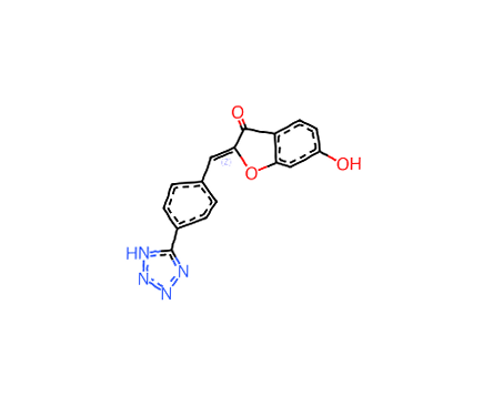 O=C1/C(=C/c2ccc(-c3nnn[nH]3)cc2)Oc2cc(O)ccc21